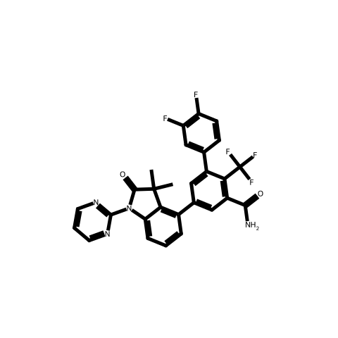 CC1(C)C(=O)N(c2ncccn2)c2cccc(-c3cc(C(N)=O)c(C(F)(F)F)c(-c4ccc(F)c(F)c4)c3)c21